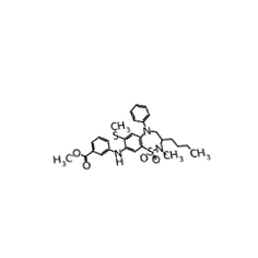 CCCCC1CN(c2ccccc2)c2cc(SC)c(Nc3cccc(C(=O)OC)c3)cc2S(=O)(=O)N1C